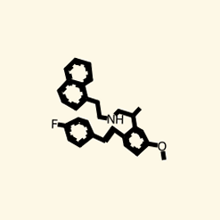 COc1ccc(C=Cc2ccc(F)cc2)c(C(C)CNCCc2cccc3ccccc23)c1